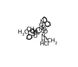 C=CCNC(=O)[C@H]1CN(S(=O)(=O)c2ccccc2C(C)(C)C)CCN1S(=O)(=O)c1cccc2cccnc12.Cl